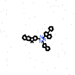 CC1(C)c2cc(-c3nc(-c4ccc5ccccc5c4)nc(-c4ccc(-c5ccccc5)c5ccccc45)n3)ccc2-c2cc3ccccc3cc21